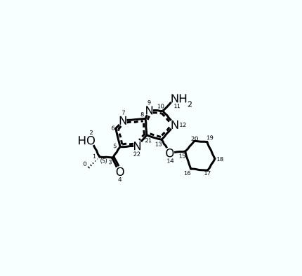 C[C@H](O)C(=O)c1cnc2nc(N)nc(OC3CCCCC3)c2n1